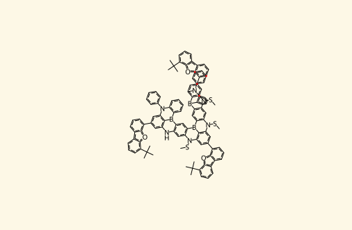 CSN1c2cc3c(cc2B2c4cc5c(cc4N(SC)c4cc(-c6cccc7c6oc6c(C(C)(C)C)cccc67)cc1c42)N(SC)c1cc(-c2cccc4c2oc2c(C(C)(C)C)cccc24)cc2c1B5c1ccccc1N2c1ccccc1)B1c2ccccc2N(c2ccccc2)c2cc(-c4cccc5c4oc4c(C(C)(C)C)cccc45)cc(c21)N3